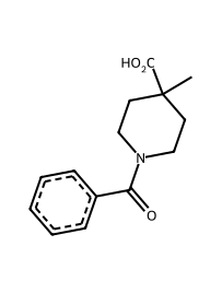 CC1(C(=O)O)CCN(C(=O)c2ccccc2)CC1